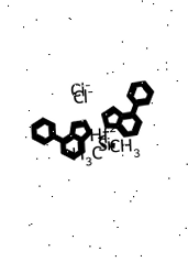 C[Si](C)=[Hf+2]([C@@H]1C=Cc2c(-c3ccccc3)cccc21)[C@H]1C=Cc2c(-c3ccccc3)cccc21.[Cl-].[Cl-]